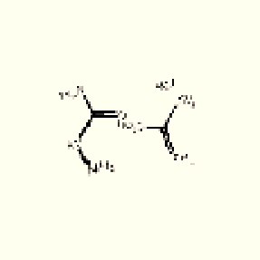 C=C(C)C(=O)O.Cl.NNC(N)=O